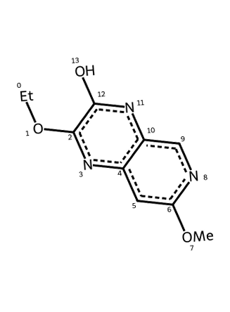 CCOc1nc2cc(OC)ncc2nc1O